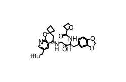 CC(C)(C)Cc1cnc2c(c1)[C@@H](NC[C@H](O)[C@H](Cc1ccc3c(c1)OCO3)NC(=O)C1CCO1)CC1(CCC1)O2